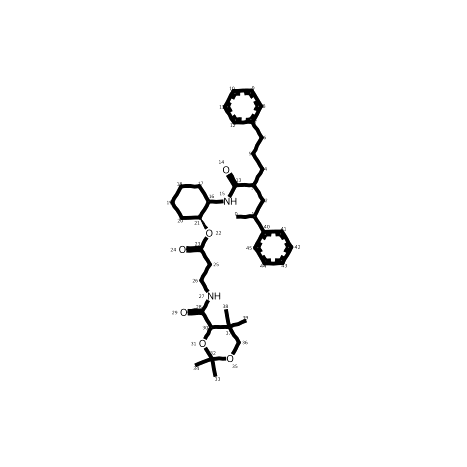 CC(CC(CCCc1ccccc1)C(=O)NC1CCCC[C@@H]1OC(=O)CCNC(=O)C1OC(C)(C)OCC1(C)C)c1ccccc1